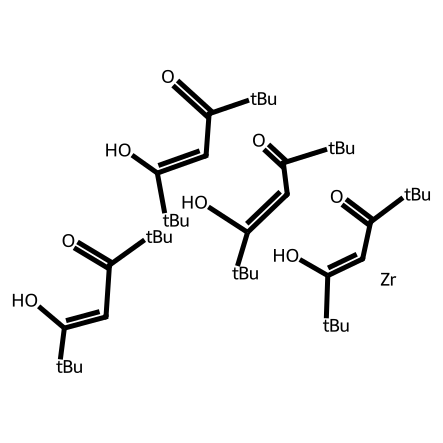 CC(C)(C)C(=O)/C=C(\O)C(C)(C)C.CC(C)(C)C(=O)/C=C(\O)C(C)(C)C.CC(C)(C)C(=O)/C=C(\O)C(C)(C)C.CC(C)(C)C(=O)/C=C(\O)C(C)(C)C.[Zr]